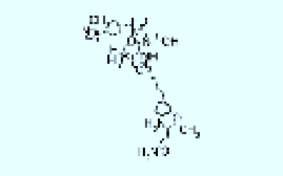 Cc1ncsc1-c1ccc(CNC(=O)[C@@H]2C[C@@H](O)CN2C(=O)[C@@H](NC(=O)CCCCCc2cccc(O[C@H](C)[C@@H](N)CCC(N)=O)c2)C(C)(C)C)cc1